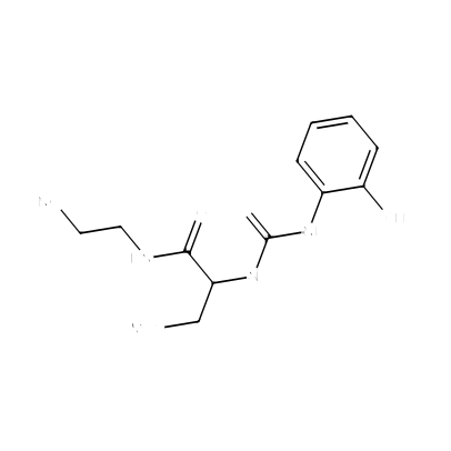 CSCC(NC(=O)Nc1ccccc1C)C(=O)NCCC#N